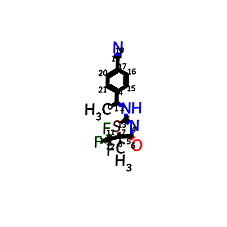 CC(NC1=NC(=O)[C@@](C)(C(F)(F)F)S1)c1ccc(C#N)cc1